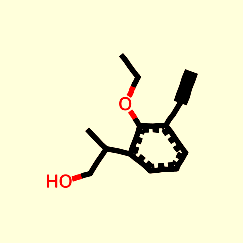 C#Cc1cccc([C](C)CO)c1OCC